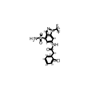 NS(=O)(=O)c1cc(NC(=O)Cc2ccccc2Cl)cc2c1cnn2C(F)F